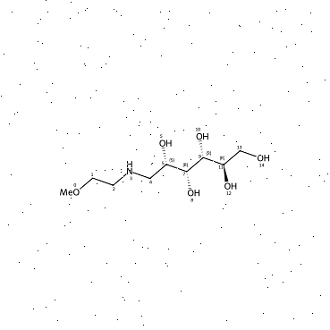 COCCNC[C@H](O)[C@@H](O)[C@H](O)[C@H](O)CO